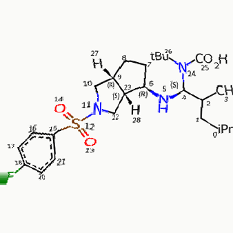 CC(C)CC(C=O)[C@@H](N[C@@H]1CC[C@H]2CN(S(=O)(=O)c3ccc(F)cc3)C[C@H]21)N(C(=O)O)C(C)(C)C